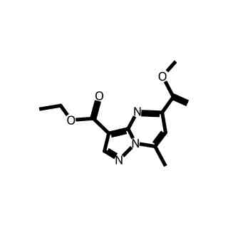 C=C(OC)c1cc(C)n2ncc(C(=O)OCC)c2n1